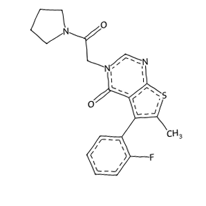 Cc1sc2ncn(CC(=O)N3CCCC3)c(=O)c2c1-c1ccccc1F